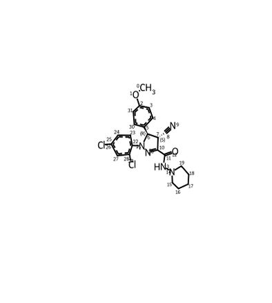 COc1ccc([C@H]2[C@H](C#N)C(C(=O)NN3CCCCC3)=NN2c2ccc(Cl)cc2Cl)cc1